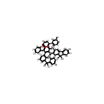 Cc1ccc(N2c3cc4c(cc3B3c5c2cc2sc6ccccc6c2c5-c2cccc5c2N3c2ccccc2C5(C)C)C(C)(C)c2ccccc2-4)c(-c2ccccc2)c1